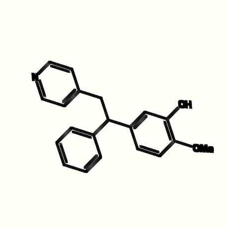 COc1ccc(C(Cc2ccncc2)c2ccccc2)cc1O